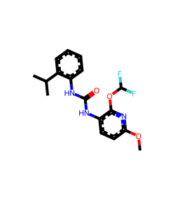 COc1ccc(NC(=O)Nc2ccccc2C(C)C)c(OC(F)F)n1